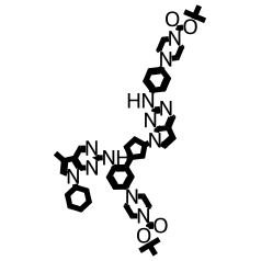 Cc1cn(C2CCCCC2)c2nc(Nc3ccc(N4CCN(C(=O)OC(C)(C)C)CC4)cc3C3CCC(n4ccc5cnc(Nc6ccc(N7CCN(C(=O)OC(C)(C)C)CC7)cc6)nc54)C3)ncc12